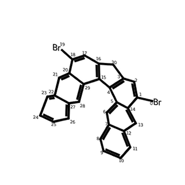 Brc1cc2c(c3cc4ccccc4cc13)-c1c(cc(Br)c3cc4ccccc4cc13)C2